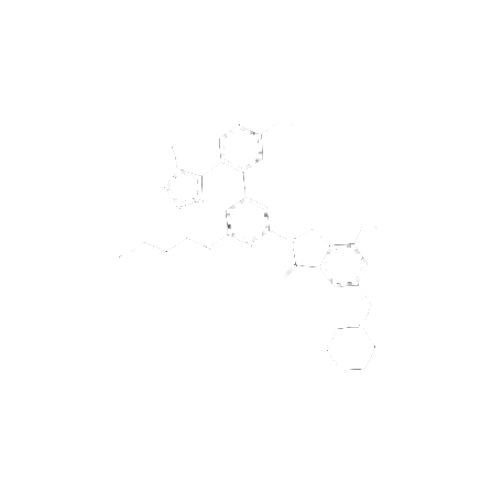 Cn1cnnc1-c1ccc(C(F)(F)F)cc1-c1cc(NCCCC#N)nc(N2Cc3c(cc(CN4CCOCC4)cc3C(F)(F)F)C2=O)c1